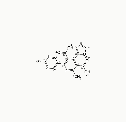 Cc1cc(-c2ccc(F)cc2)c(C(=O)O)c(-c2ccco2)c1C(=O)O